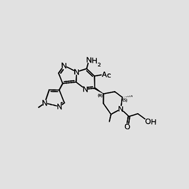 CC(=O)c1c([C@@H]2CC(C)N(C(=O)CO)[C@@H](C)C2)nc2c(-c3cnn(C)c3)cnn2c1N